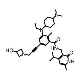 CCN(c1cc(C#CCN2CC(O)C2)cc(C(=O)NCc2c(C(C)C)cc(C)[nH]c2=O)c1C)C1CCC(N(C)C)CC1